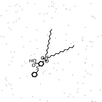 CCCCCCCCCCCCN(CCCCCCCCCCCC)S(=O)(=O)c1ccc(SCc2ccccc2)c(C(=O)O)c1